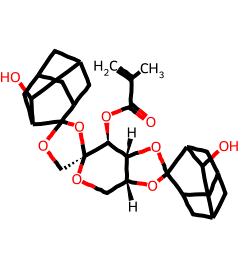 C=C(C)C(=O)O[C@H]1[C@@H]2OC3(O[C@@H]2CO[C@]12COC1(O2)C2CC4CC(C2)C(O)C1C4)C1CC2CC(C1)C(O)C3C2